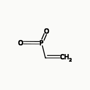 C=CP(=O)=O